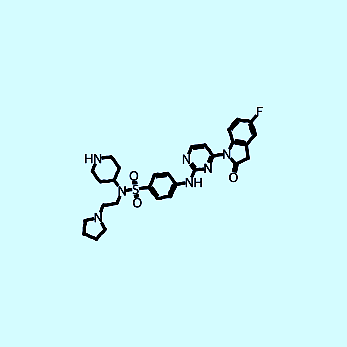 O=C1Cc2cc(F)ccc2N1c1ccnc(Nc2ccc(S(=O)(=O)N(CCN3CCCC3)C3CCNCC3)cc2)n1